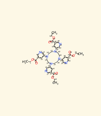 CCOC(=O)c1cncc(N2CCN(c3cncc(C(=O)OCC)c3)CCN(c3cncc(C(=O)OCC)c3)CCN(c3cncc(C(=O)OCC)c3)CC2)c1